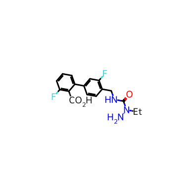 CCN(N)C(=O)NCc1ccc(-c2cccc(F)c2C(=O)O)cc1F